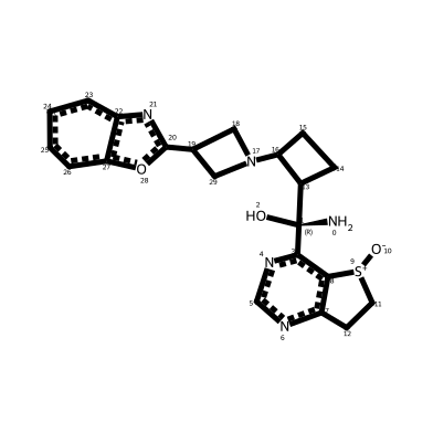 N[C@](O)(c1ncnc2c1[S+]([O-])CC2)C1CCC1N1CC(c2nc3ccccc3o2)C1